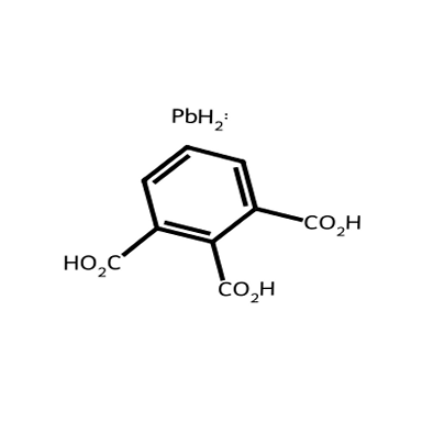 O=C(O)c1cccc(C(=O)O)c1C(=O)O.[PbH2]